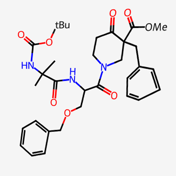 COC(=O)C1(Cc2ccccc2)CN(C(=O)C(COCc2ccccc2)NC(=O)C(C)(C)NC(=O)OC(C)(C)C)CCC1=O